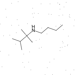 CCCCNC(C)(C)C(C)C